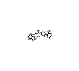 Cc1ccccc1-c1ccc(C(=O)N2CCC3(CC2)OCc2ccccc23)cc1